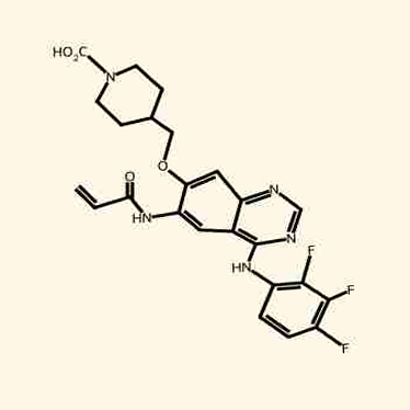 C=CC(=O)Nc1cc2c(Nc3ccc(F)c(F)c3F)ncnc2cc1OCC1CCN(C(=O)O)CC1